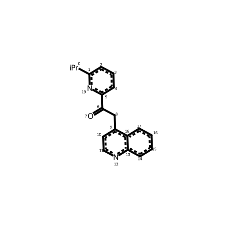 CC(C)c1cccc(C(=O)Cc2ccnc3ccccc23)n1